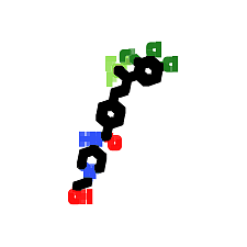 O=C(NC1CCN(CCO)CC1)c1ccc(C=CC(c2ccc(Cl)c(Cl)c2Cl)C(F)(F)F)cc1